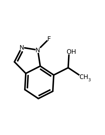 CC(O)c1cccc2cnn(F)c12